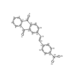 O=C1c2ccccc2C(=O)c2cc(C=Cc3ccc([N+](=O)[O-])cc3)ccc21